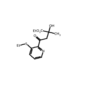 CCOC(=O)C(C)(O)CC(=O)c1ncccc1SCC